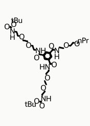 CCCOCCOCCNC(=O)c1cc(C(=O)NCCOCCOCCNC(=O)OC(C)(C)C)cc(C(=O)NCCOCCOCCNC(=O)OC(C)(C)C)c1